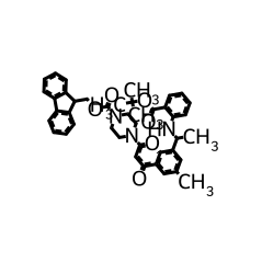 Cc1cc(C(C)Nc2ccccc2C(=O)OC(C)(C)C)c2oc(N3CCN(C(=O)OCC4c5ccccc5-c5ccccc54)CC3)cc(=O)c2c1